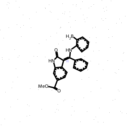 Bc1ccccc1N/C(=C1\C(=O)Nc2cc(C(=O)OC)ccc21)c1ccccc1